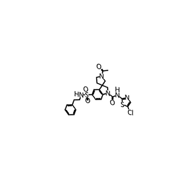 CC(=O)N1CCC2(C1)CN(C(=O)Nc1ncc(Cl)s1)c1ccc(S(=O)(=O)NCCc3ccccc3)cc12